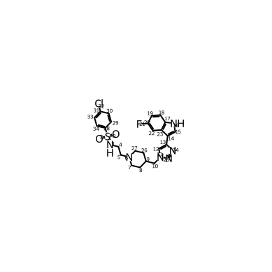 O=S(=O)(NCCN1CCC(Cn2cc(-c3c[nH]c4ccc(F)cc34)nn2)CC1)c1ccc(Cl)cc1